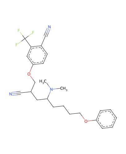 CN(C)C(CCCCOc1ccccc1)CC(C#N)COc1ccc(C#N)c(C(F)(F)F)c1